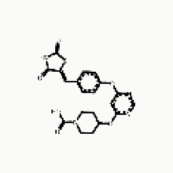 O=C1NC(=O)C(=Cc2ccc(Oc3cc(OC4CCN(C(=O)O)CC4)ncn3)cc2)S1